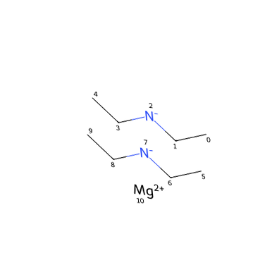 CC[N-]CC.CC[N-]CC.[Mg+2]